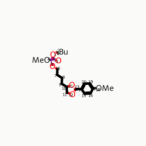 CCC(C)OP(=O)(OC)OCCCCC1COC(c2ccc(OC)cc2)O1